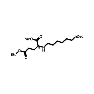 CCCCCCCCCCCCCCCCN[C@@H](CCC(=O)OC(C)(C)C)C(=O)OC